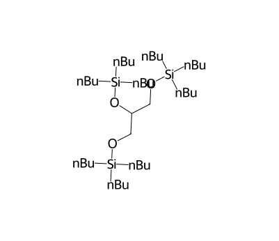 CCCC[Si](CCCC)(CCCC)OCC(CO[Si](CCCC)(CCCC)CCCC)O[Si](CCCC)(CCCC)CCCC